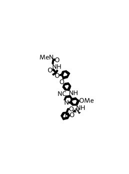 CNC(=O)CNC(=O)C(C)(C)Oc1ccccc1Oc1ccc(Nc2c(C#N)cnc3cc(NN(C)C(O)OCc4ccccc4)c(OC)cc23)cc1